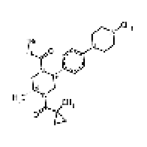 C[C@@H]1CN(C(=O)OC(C)(C)C)[C@H](c2ccc(N3CCN(C)CC3)cc2)CN1C(=O)C1(C)CC1